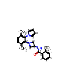 Cc1ccc(C(=O)O)c(-n2cccc2)c1N1CC(NC(=O)c2ccccc2[N+](=O)[O-])C1